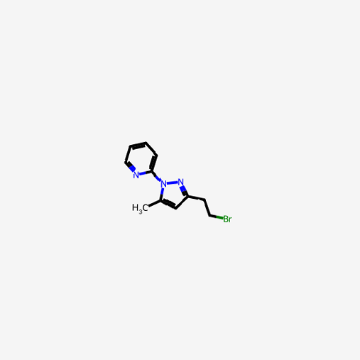 Cc1cc(CCBr)nn1-c1ccccn1